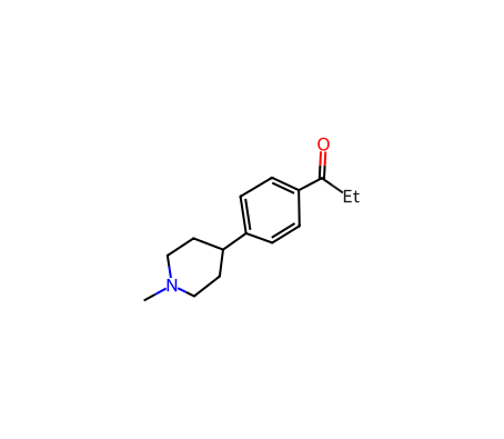 CCC(=O)c1ccc(C2CCN(C)CC2)cc1